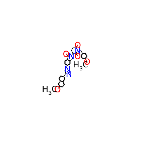 COc1ccc(CN2C(=O)CCC(N3Cc4cc(-n5cnc(-c6ccc7cc(OC)ccc7c6)c5)ccc4C3=O)C2=O)cc1